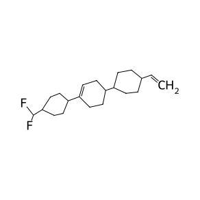 C=CC1CCC(C2CC=C(C3CCC(C(F)F)CC3)CC2)CC1